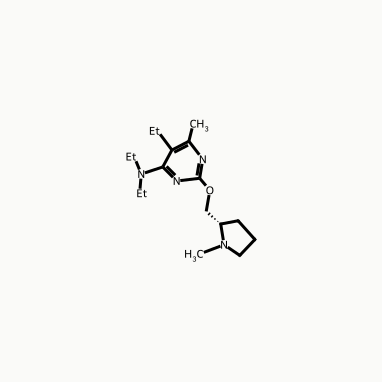 CCc1c(C)nc(OC[C@@H]2CCCN2C)nc1N(CC)CC